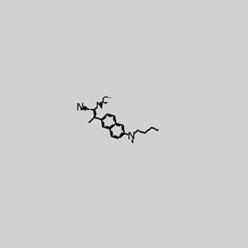 [C-]#[N+]/C(C#N)=C(/C)c1ccc2cc(N(C)CCCC)ccc2c1